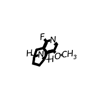 COc1cnc(F)c2c1[C@H]1CC[C@@H](C2)N1